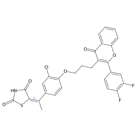 C/C(=C1\SC(=O)NC1=O)c1ccc(OCCCc2c(-c3ccc(F)c(F)c3)oc3ccccc3c2=O)c(Cl)c1